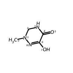 CN1[C]NC(=O)C(O)=N1